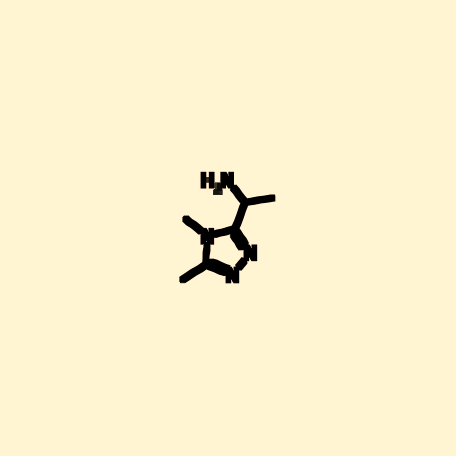 Cc1nnc(C(C)N)n1C